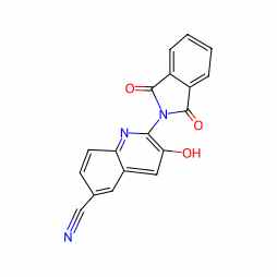 N#Cc1ccc2nc(N3C(=O)c4ccccc4C3=O)c(O)cc2c1